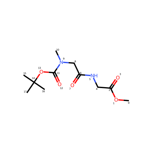 COC(=O)CNC(=O)CN(C)C(=O)OC(C)(C)C